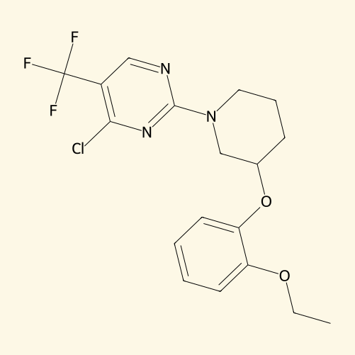 CCOc1ccccc1OC1CCCN(c2ncc(C(F)(F)F)c(Cl)n2)C1